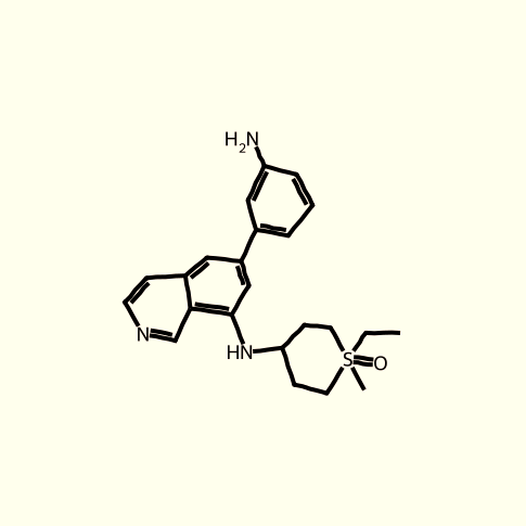 CCS1(C)(=O)CCC(Nc2cc(-c3cccc(N)c3)cc3ccncc23)CC1